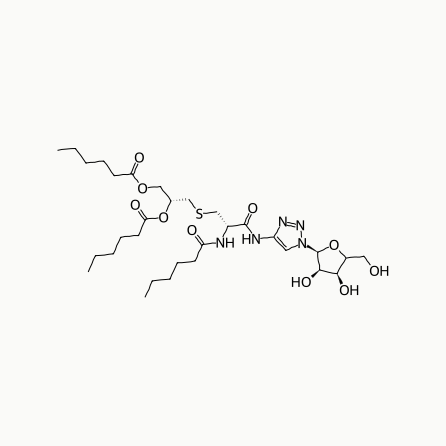 CCCCCC(=O)N[C@H](CSC[C@@H](COC(=O)CCCCC)OC(=O)CCCCC)C(=O)Nc1cn([C@H]2OC(CO)[C@@H](O)[C@H]2O)nn1